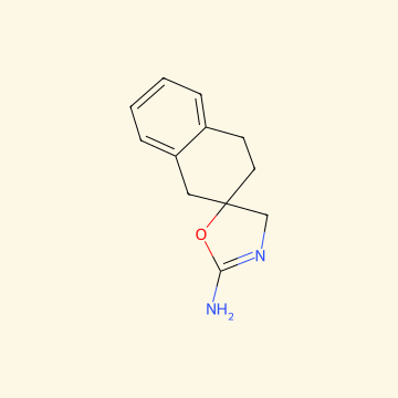 NC1=NCC2(CCc3ccccc3C2)O1